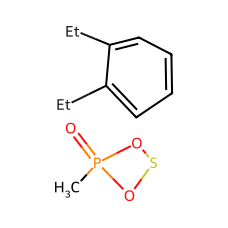 CCc1ccccc1CC.CP1(=O)OSO1